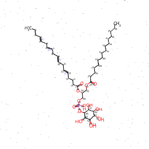 CCC/C=C/C/C=C/C/C=C/C/C=C/CCCC(=O)OC(COC(=O)CCCCCCCCCCCCCCC)COP(=O)(O)OC1C(O)C(O)C(O)C(O)C1O